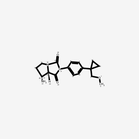 COCC1(c2ccc(N3C(=O)[C@@H]4[C@H](N)CCN4C3=O)cc2)CC1